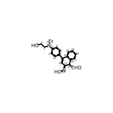 CCN(CCO)c1ccc(C2=CC(=NO)C(C=O)c3ccccc32)cc1